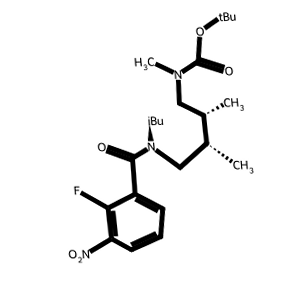 CC[C@H](C)N(C[C@@H](C)[C@@H](C)CN(C)C(=O)OC(C)(C)C)C(=O)c1cccc([N+](=O)[O-])c1F